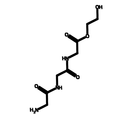 NCC(=O)NCC(=O)NCC(=O)OCCO